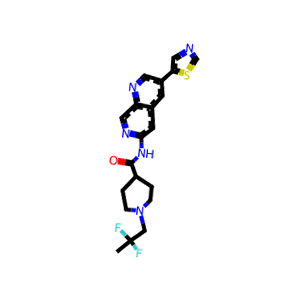 CC(F)(F)CN1CCC(C(=O)Nc2cc3cc(-c4cncs4)cnc3cn2)CC1